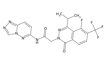 CC(C)c1nn(CC(=O)Nc2ccc3nncn3n2)c(=O)c2ccc(C(F)(F)F)c(F)c12